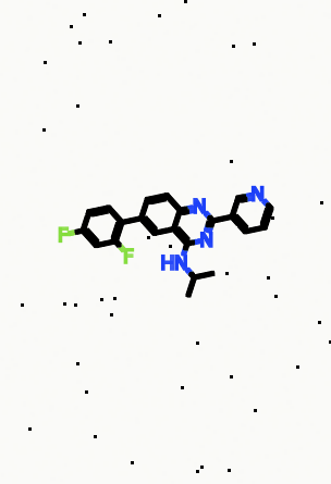 CC(C)Nc1nc(-c2cccnc2)nc2ccc(-c3ccc(F)cc3F)cc12